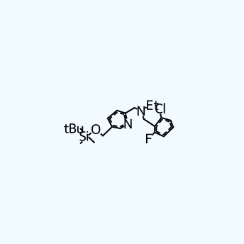 CCN(Cc1ccc(CO[Si](C)(C)C(C)(C)C)cn1)Cc1c(F)cccc1Cl